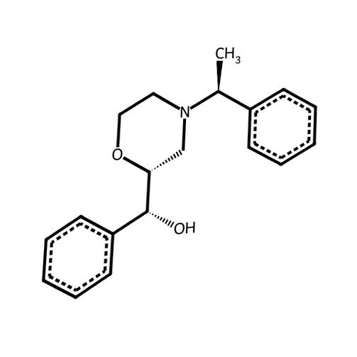 C[C@@H](c1ccccc1)N1CCO[C@@H]([C@H](O)c2ccccc2)C1